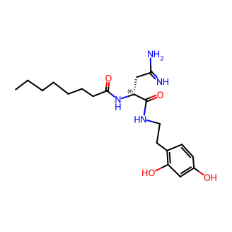 CCCCCCCC(=O)N[C@H](CC(=N)N)C(=O)NCCc1ccc(O)cc1O